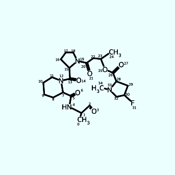 CC(C=O)NC(=O)C1CCCCN1C(=O)C1CCCN1C(=O)CC(C)OC(=O)C1CC(F)CN1C